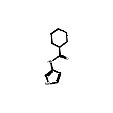 O=C(Nc1cc[nH]c1)C1CCCCC1